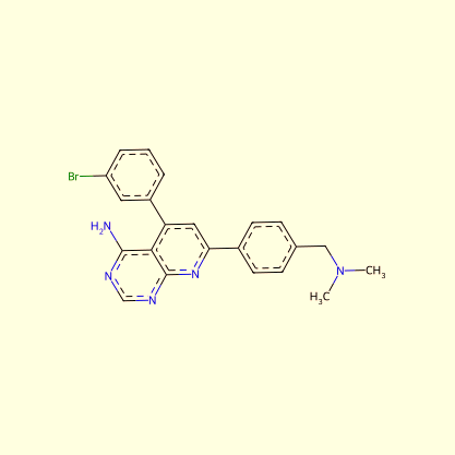 CN(C)Cc1ccc(-c2cc(-c3cccc(Br)c3)c3c(N)ncnc3n2)cc1